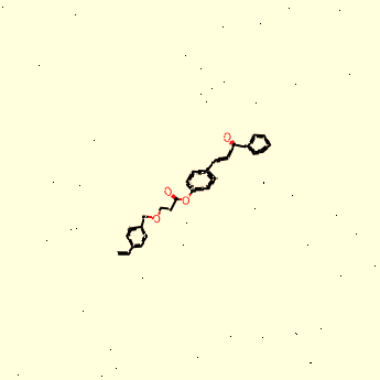 C=Cc1ccc(COCCC(=O)Oc2ccc(C=CC(=O)c3ccccc3)cc2)cc1